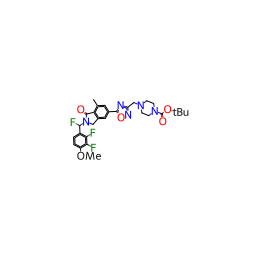 COc1ccc(C(F)N2Cc3cc(-c4nc(CN5CCN(C(=O)OC(C)(C)C)CC5)no4)cc(C)c3C2=O)c(F)c1F